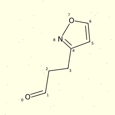 O=CCCc1ccon1